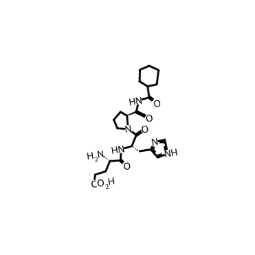 N[C@@H](CCC(=O)O)C(=O)N[C@@H](Cc1c[nH]cn1)C(=O)N1CCC[C@H]1C(=O)NC(=O)C1CCCCC1